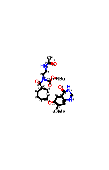 COc1cc2nc[nH]c(=O)c2cc1O[C@@H]1CCC[C@@H](C(=O)N(CCNC(=O)C(F)(F)F)C(=O)OC(C)(C)C)CC1